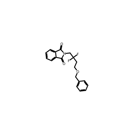 O=C1c2ccccc2C(=O)N1CC(F)(F)CCOCc1ccccc1